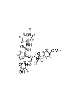 COc1ccc(S(=O)(=O)N(C)C[C@@H]2Oc3c(NC(=O)Nc4cccc5c4ccn5C)cccc3C(=O)N([C@@H](C)CO)C[C@H]2C)cc1